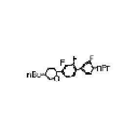 CCCCC1CCC(c2ccc(-c3ccc(CCC)c(F)c3)c(F)c2F)OC1